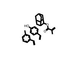 C=C(C)C(=O)OC1C2CC3CC(C2)CC1C3.C=Cc1ccc(O)cc1.C=Cc1cccc(C)c1